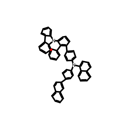 c1ccc(-c2c(-c3ccc(N(c4ccc(-c5ccc6ccccc6c5)cc4)c4cccc5ccccc45)cc3)cccc2-n2c3ccccc3c3ccccc32)cc1